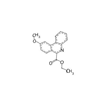 CCOC(=O)c1nc2ccccc2c2cc(OC)ccc12